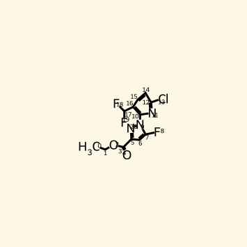 CCOC(=O)c1cc(F)n(-c2nc(Cl)ccc2C(F)F)n1